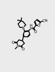 CN1C(=O)CC(c2ccc(NC(=O)c3ccc(C#N)o3)c(N3CCC(C)(C)CC3)c2)CC1=O